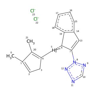 CC1=CC[C]([Hf+2][CH]2C(n3ncnn3)=Cc3ccccc32)=C1C.[Cl-].[Cl-]